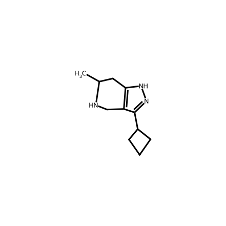 CC1Cc2[nH]nc(C3CCC3)c2CN1